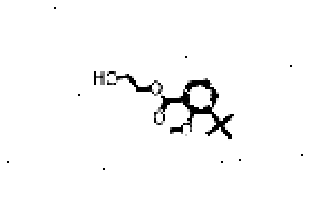 COc1c(C(=O)OCCO)cccc1C(C)(C)C